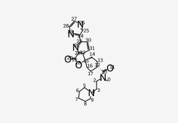 CN(CCN1CCCCC1)C(=O)[C@H]1CC[C@@]2(CC1)OC(=O)c1nc(-c3cnccn3)ccc12